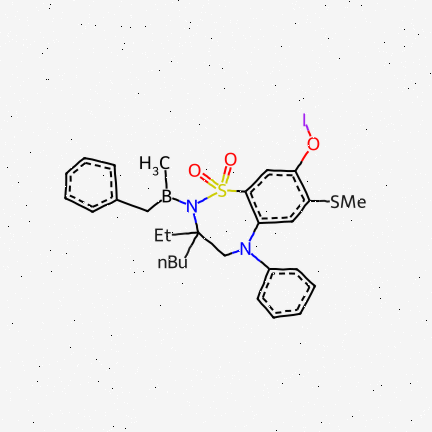 CCCCC1(CC)CN(c2ccccc2)c2cc(SC)c(OI)cc2S(=O)(=O)N1B(C)Cc1ccccc1